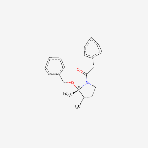 CC1CCN(C(=O)Cc2ccccc2)[C@]1(OCc1ccccc1)C(=O)O